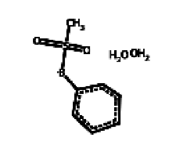 CS(=O)(=O)[B]c1ccccc1.O.O